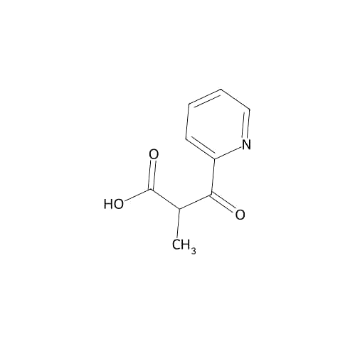 CC(C(=O)O)C(=O)c1ccccn1